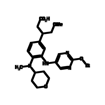 CCOc1ncc(Nc2cc(C(COC)CC(=O)O)ccc2N(C)C2CCOCC2)cn1